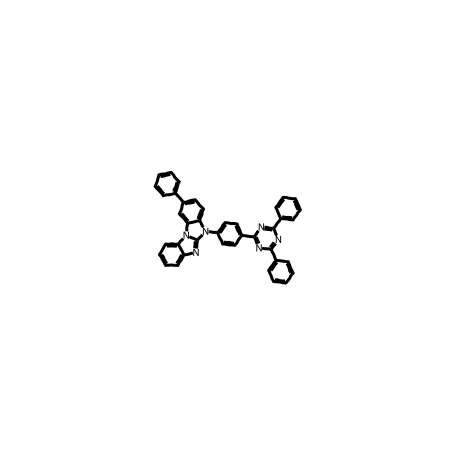 c1ccc(-c2ccc3c(c2)n2c4ccccc4nc2n3-c2ccc(-c3nc(-c4ccccc4)nc(-c4ccccc4)n3)cc2)cc1